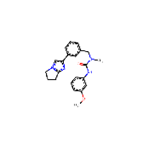 COc1cccc(NC(=O)N(C)Cc2cccc(-c3cn4c(n3)CCC4)c2)c1